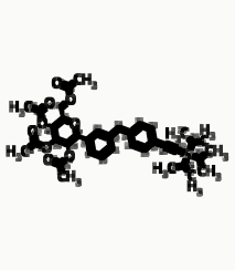 CC(=O)OC[C@H]1O[C@@H](c2cccc(Cc3ccc(C#C[Si](C(C)C)(C(C)C)C(C)C)cc3)c2)[C@H](OC(C)=O)[C@@H](OC(C)=O)[C@@H]1OC(C)=O